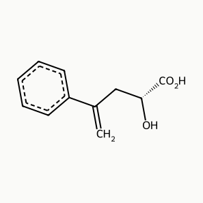 C=C(C[C@@H](O)C(=O)O)c1ccccc1